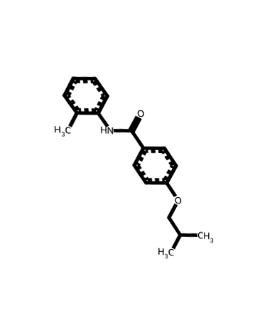 Cc1ccccc1NC(=O)c1ccc(OCC(C)C)cc1